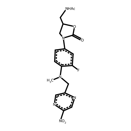 CC(=O)NCC1CN(c2ccc(N(C)Cc3cnc([N+](=O)[O-])cn3)c(F)c2)C(=O)O1